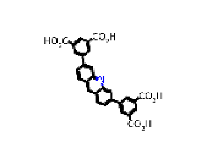 O=C(O)c1cc(C(=O)O)cc(-c2ccc3cc4ccc(-c5cc(C(=O)O)cc(C(=O)O)c5)cc4nc3c2)c1